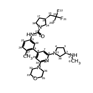 CN[C@@H]1CCN(c2cc(-c3cc(NC(=O)N4CC[C@@H](CC(F)(F)F)C4)ccc3C)cc(N3CCOCC3)n2)C1